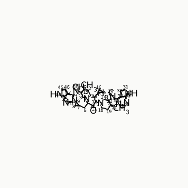 CC1CCN(C(CC2CC2)C(=O)C(CC2CC2)N2CCC(C)C(N(C)c3ncnc4[nH]ccc34)C2)CC1N(C)c1ncnc2[nH]ccc12